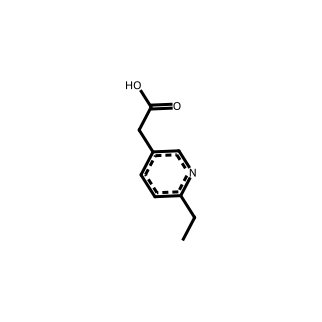 CCc1ccc(CC(=O)O)cn1